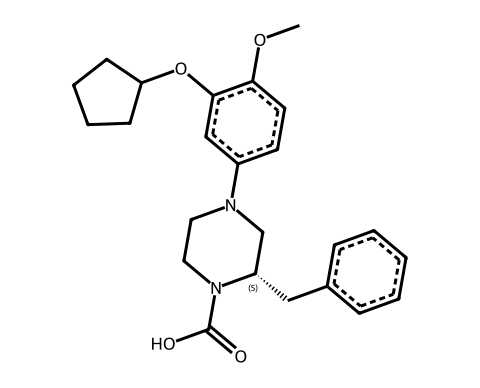 COc1ccc(N2CCN(C(=O)O)[C@@H](Cc3ccccc3)C2)cc1OC1CCCC1